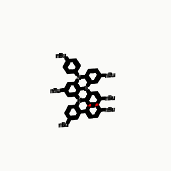 CCCCc1ccc(-c2cc(CCCC)ccc2N2c3ccc(CCCC)cc3B3c4cc(CCCC)ccc4N(c4ccc(CCCC)cc4)c4cc(CCCC)cc2c43)cc1